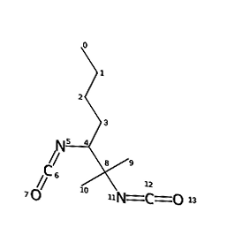 CCCCC(N=C=O)C(C)(C)N=C=O